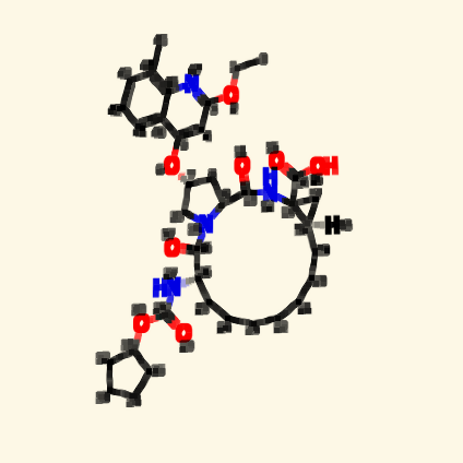 CCOc1cc(O[C@@H]2CC3C(=O)NC4(C(=O)O)C[C@H]4CCCCCCC[C@H](NC(=O)OC4CCCC4)C(=O)N3C2)c2cccc(C)c2n1